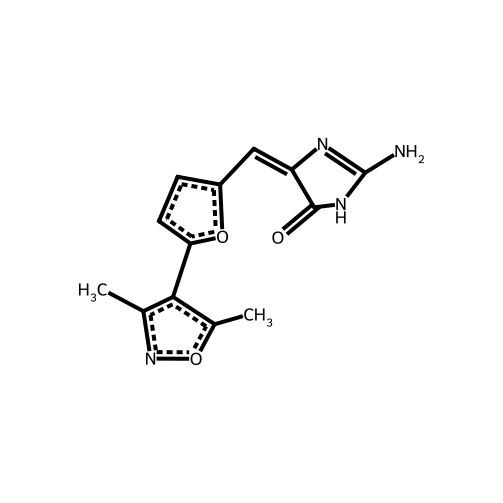 Cc1noc(C)c1-c1ccc(C=C2N=C(N)NC2=O)o1